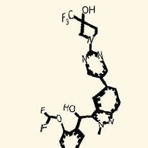 Cn1nc2ccc(-c3cnc(N4CC(O)(C(F)(F)F)C4)nc3)cc2c1C(O)c1ccccc1OC(F)F